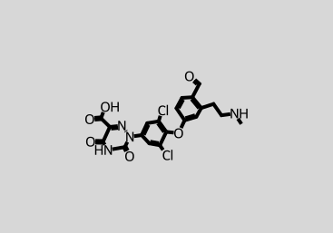 CNCCc1cc(Oc2c(Cl)cc(-n3nc(C(=O)O)c(=O)[nH]c3=O)cc2Cl)ccc1C=O